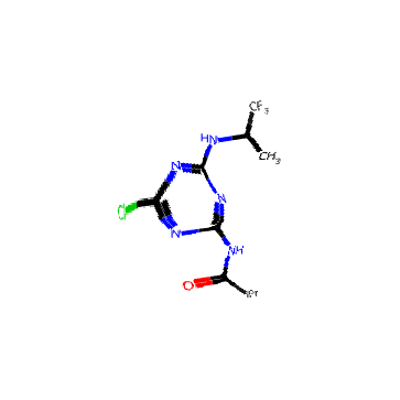 CC(C)C(=O)Nc1nc(Cl)nc(NC(C)C(F)(F)F)n1